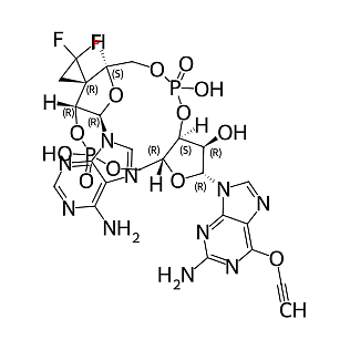 C#COc1nc(N)nc2c1ncn2[C@@H]1O[C@@H]2COP(=O)(O)O[C@H]3[C@H](n4cnc5c(N)ncnc54)O[C@H](COP(=O)(O)O[C@H]2[C@H]1O)[C@]31CC1(F)F